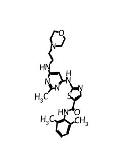 Cc1nc(NCCN2CCOCC2)cc(Nc2ncc(C(=O)Nc3c(C)cccc3C)s2)n1